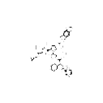 CCC[C@H](NC(=O)C1C[C@@H](OC(=O)N2Cc3cc4c(cc3C2)OCO4)CN1C(=O)[C@@H](NC(=O)[C@@H](NC(=O)c1cnccn1)C1CCCCC1)C(C)(C)C)C(=O)C(=O)NC1CC1